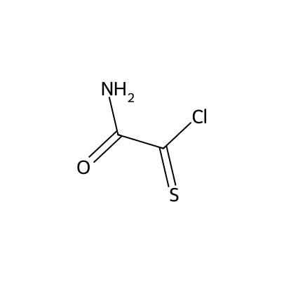 NC(=O)C(=S)Cl